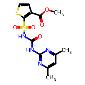 COC(=O)c1ccsc1S(=O)(=O)NC(=O)Nc1nc(C)cc(C)n1